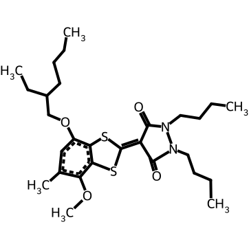 CCCCC(CC)COc1cc(C)c(OC)c2c1SC(=C1C(=O)N(CCCC)N(CCCC)C1=O)S2